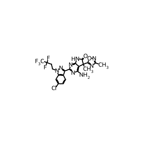 Cc1noc(C2(C)C(=O)Nc3nc(-c4nn(CCC(F)(F)C(F)(F)F)c5cc(Cl)ccc45)nc(N)c32)n1